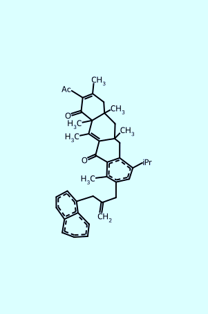 C=C(Cc1cc(C(C)C)c2c(c1C)C(=O)C1=C(C)C3(C)C(=O)C(C(C)=O)=C(C)CC3(C)CC1(C)C2)Cc1cccc2ccccc12